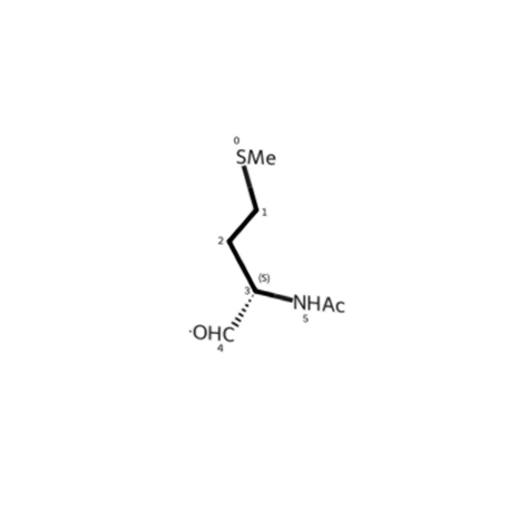 CSCC[C@@H]([C]=O)NC(C)=O